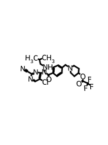 CC(C)CNN(C(=O)c1ccc(CN2CCC(OC(=O)C(F)(F)F)CC2)cc1)c1nc(C#N)ncc1Cl